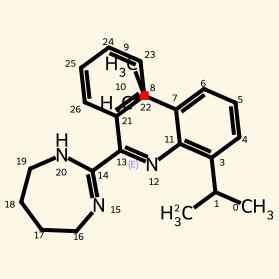 CC(C)c1cccc(C(C)C)c1/N=C(/C1=NCCCCN1)c1ccccc1